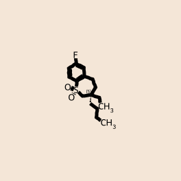 CCCC[C@@]1(CC)CCc2cc(F)ccc2S(=O)(=O)C1